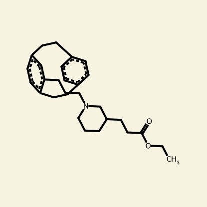 CCOC(=O)CCC1CCCN(CCCc2cc3ccc2CCc2ccc(cc2)CC3)C1